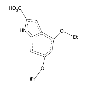 CCOc1cc(OC(C)C)cc2[nH]c(C(=O)O)cc12